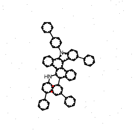 c1ccc(-c2ccc(Nc3c(-c4cccc(-c5ccccc5)c4)c4ccccc4c4c3c3ccccc3c3c4c4cc(-c5ccccc5)ccc4n3-c3ccc(-c4ccccc4)cc3)cc2)cc1